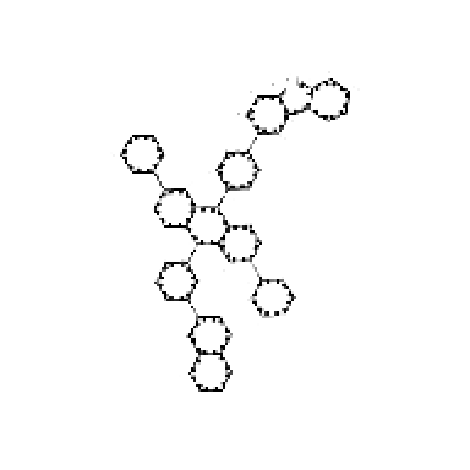 c1ccc(-c2ccc3c(-c4cccc(-c5ccc6ccccc6c5)c4)c4cc(-c5ccccc5)ccc4c(-c4ccc(-c5ccc6oc7ccccc7c6c5)cc4)c3c2)cc1